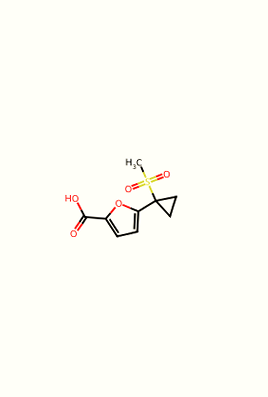 CS(=O)(=O)C1(c2ccc(C(=O)O)o2)CC1